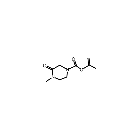 C=C(C)OC(=O)N1CCN(C)C(=O)C1